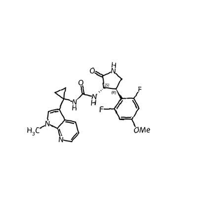 COc1cc(F)c([C@@H]2CNC(=O)[C@H]2NC(=O)NC2(c3cn(C)c4ncccc34)CC2)c(F)c1